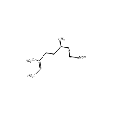 CCCCCCCCCCCC(C)CCC(=CC(=O)O)C(=O)O